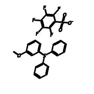 COc1cccc([S+](c2ccccc2)c2ccccc2)c1.O=S(=O)([O-])c1c(F)c(F)c(F)c(F)c1F